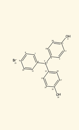 Oc1ccc([S+](c2ccccc2)c2ccc(O)cc2)cc1.[Br-]